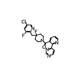 O=C(c1cccnc1-c1ccncn1)N1CCC(F)(Cc2ncc(Cl)cc2F)CC1